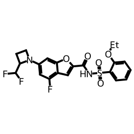 CCOc1ccccc1S(=O)(=O)NC(=O)c1cc2c(F)cc(N3CCC3C(F)F)cc2o1